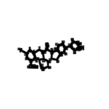 COc1cc(F)cc(CN(C(=O)N2CCc3cc(-c4cn[nH]c4)ccc32)C2CCOCC2)c1